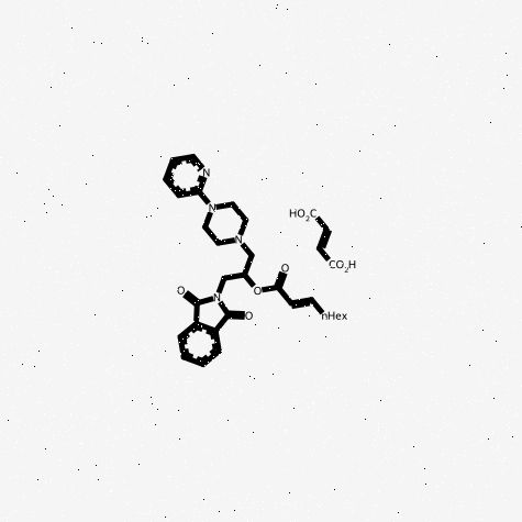 CCCCCCC=CC(=O)OC(CN1CCN(c2ccccn2)CC1)CN1C(=O)c2ccccc2C1=O.O=C(O)C=CC(=O)O